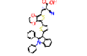 N#C/C(=C\c1sc(-c2ccc(-c3c(-c4ccccc4)n(-c4ccccc4)c4ccccc34)s2)c2c1OCCO2)C(=O)O